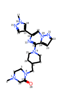 CN1CCN(CC2CCN(c3nc(-c4cnn(C)c4)cn4nccc34)CC2)C(=O)C1